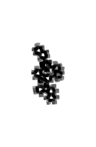 c1ccc(-c2cc(-n3c4ccccc4c4c5ccccc5ccc43)c3oc4cccc(-c5nc(-c6ccccc6)nc(-c6ccc7ccccc7c6)n5)c4c3c2)cc1